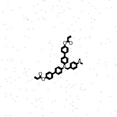 C=CC(=O)Oc1ccc(-c2ccc(N(Cc3ccc(N(C)C)cc3)c3ccc(-c4ccc(OC(=O)C=C)cc4)cc3)cc2)cc1